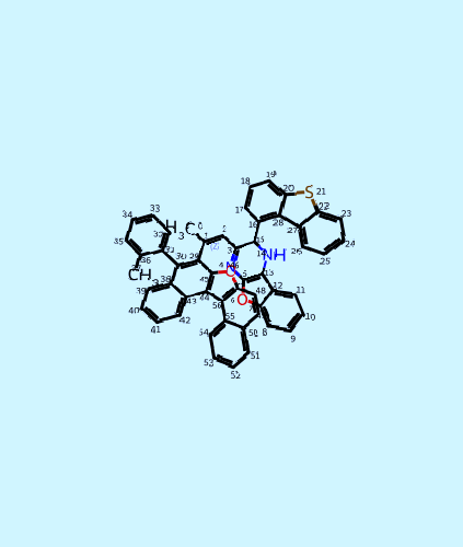 C/C(=C/C1=Nc2oc3ccccc3c2NC1c1cccc2sc3ccccc3c12)c1c(-c2ccccc2C)c2ccccc2c2c1oc1ccc3ccccc3c12